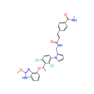 CNC(=O)c1ccc(C=CC(=O)NCc2cccn2-c2ccc(Cl)c(C(C)Oc3cccc4[nH]c(OC)nc34)c2Cl)cc1